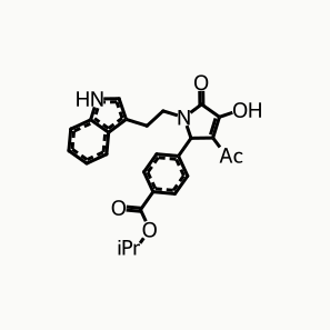 CC(=O)C1=C(O)C(=O)N(CCc2c[nH]c3ccccc23)C1c1ccc(C(=O)OC(C)C)cc1